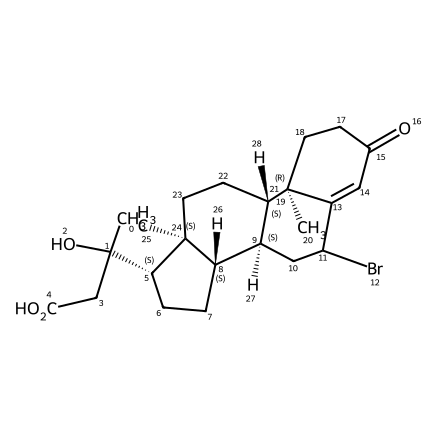 CC(O)(CC(=O)O)[C@H]1CC[C@H]2[C@@H]3CC(Br)C4=CC(=O)CC[C@]4(C)[C@H]3CC[C@]12C